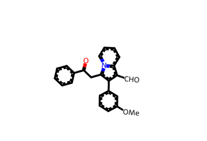 COc1cccc(-c2c(C=O)c3ccccn3c2CC(=O)c2ccccc2)c1